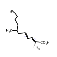 C/C(=C\C=C\CC(C)CCCC(C)C)C(=O)O